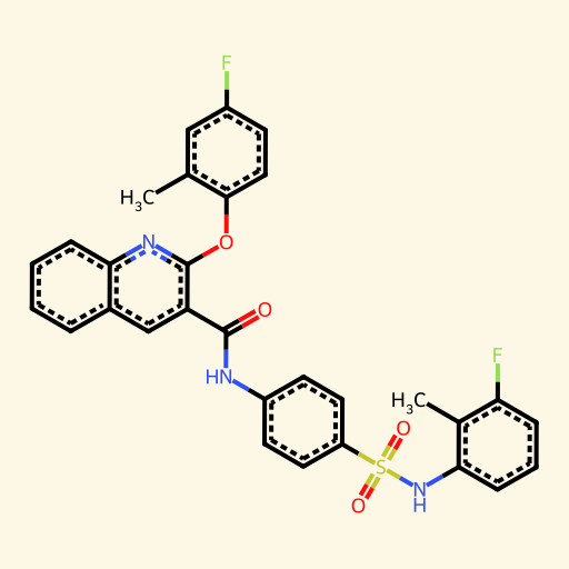 Cc1cc(F)ccc1Oc1nc2ccccc2cc1C(=O)Nc1ccc(S(=O)(=O)Nc2cccc(F)c2C)cc1